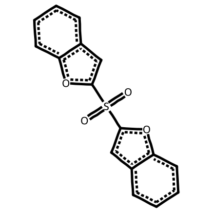 O=S(=O)(c1cc2ccccc2o1)c1cc2ccccc2o1